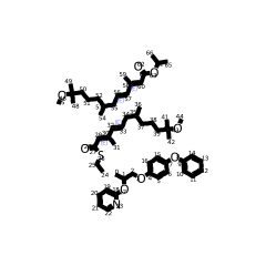 CC(COc1ccc(Oc2ccccc2)cc1)Oc1ccccn1.CCSC(=O)/C=C(C)/C=C/CC(C)CCCC(C)(C)OC.COC(C)(C)CCCC(C)C/C=C/C(C)=C/C(=O)OC(C)C